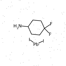 NC1CCC(F)(F)CC1.[I][Pb][I]